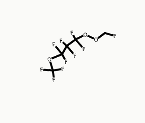 FCOOC(F)(F)C(F)(F)C(F)(F)OC(F)(F)F